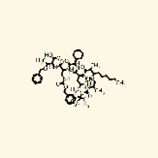 CCCCCCC(OCC(C)NC(=O)OC(C)(C)C)C(C)C(=O)N(C)C(CC(C)C)C(=O)NC(C(=O)NC(CNC(=O)OCc1ccccc1)C(=O)NC(C(=O)O)C(C)OCc1ccccc1)C1CCCCC1